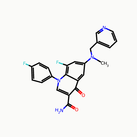 CN(Cc1cccnc1)c1cc(F)c2c(c1)c(=O)c(C(N)=O)cn2-c1ccc(F)cc1